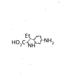 CCC(C(=N)C(=O)O)c1ccc(N)cc1